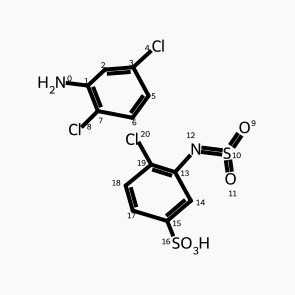 Nc1cc(Cl)ccc1Cl.O=S(=O)=Nc1cc(S(=O)(=O)O)ccc1Cl